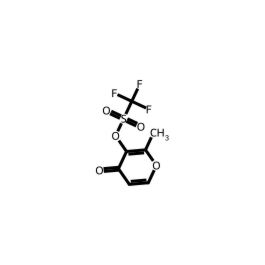 Cc1occc(=O)c1OS(=O)(=O)C(F)(F)F